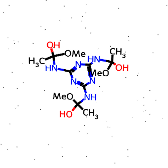 COC(C)(O)Nc1nc(NC(C)(O)OC)nc(NC(C)(O)OC)n1